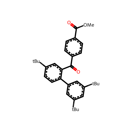 COC(=O)c1ccc(C(=O)c2cc(C(C)(C)C)ccc2-c2cc(C(C)(C)C)cc(C(C)(C)C)c2)cc1